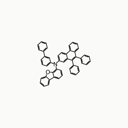 c1ccc(-c2cccc(N(c3ccc4c(c3)c(-c3ccccc3)c(-c3ccccc3)c3ccccc34)c3cccc4c3oc3ccccc34)c2)cc1